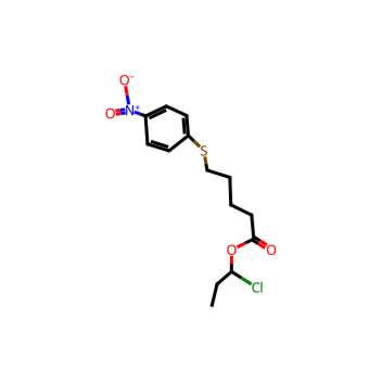 CCC(Cl)OC(=O)CCCCSc1ccc([N+](=O)[O-])cc1